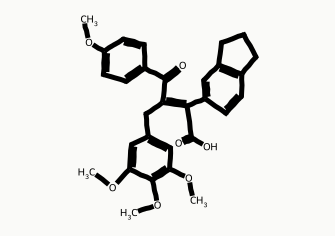 COc1ccc(C(=O)C(Cc2cc(OC)c(OC)c(OC)c2)=C(C(=O)O)c2ccc3c(c2)CCC3)cc1